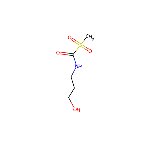 CS(=O)(=O)C(=O)NCCCO